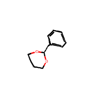 [c]1ccc(C2OC[CH]CO2)cc1